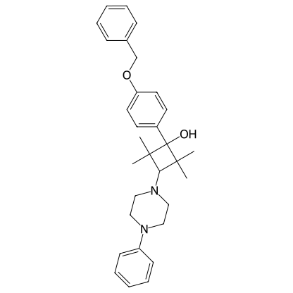 CC1(C)C(N2CCN(c3ccccc3)CC2)C(C)(C)C1(O)c1ccc(OCc2ccccc2)cc1